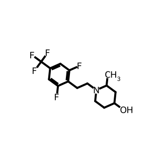 CC1CC(O)CCN1CCc1c(F)cc(C(F)(F)F)cc1F